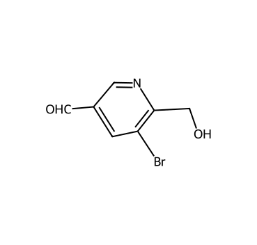 O=Cc1cnc(CO)c(Br)c1